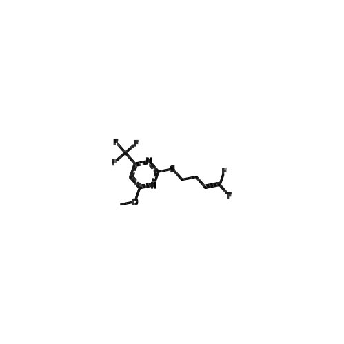 COc1cc(C(F)(F)F)nc(SCCC=C(F)F)n1